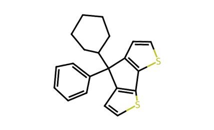 c1ccc(C2(C3CCCCC3)c3ccsc3-c3sccc32)cc1